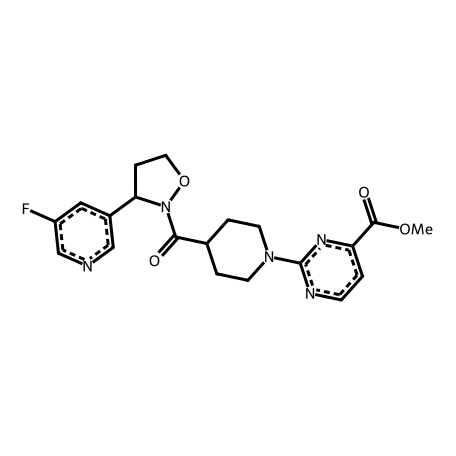 COC(=O)c1ccnc(N2CCC(C(=O)N3OCCC3c3cncc(F)c3)CC2)n1